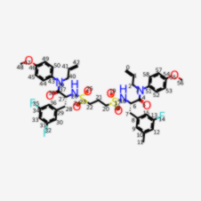 C=CCN(C(=O)[C@H](Cc1cc(C)cc(F)c1)NS(=O)(=O)CCCS(=O)(=O)N[C@H](Cc1cc(F)cc(F)c1)C(=O)N(CC=C)c1ccc(OC)cc1)c1ccc(OC)cc1